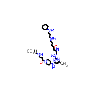 Cc1cc(NC2CCN(C(=O)CCNCC(=O)O)CC2)nc(NCc2cc(CCCNCCCNC3CCCCC3)on2)n1